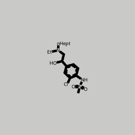 CCCCCCCN(CC)CC(O)c1ccc(NS(C)(=O)=O)c(Cl)c1